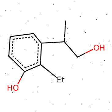 CCc1c(O)cccc1[C](C)CO